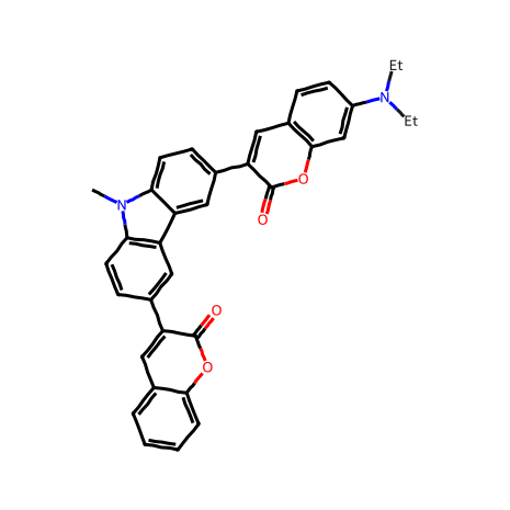 CCN(CC)c1ccc2cc(-c3ccc4c(c3)c3cc(-c5cc6ccccc6oc5=O)ccc3n4C)c(=O)oc2c1